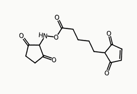 O=C(CCCCC1C(=O)C=CC1=O)ONC1C(=O)CCC1=O